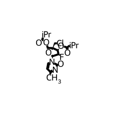 Cc1ccn([C@@H]2O[C@](CCl)(COC(=O)C(C)C)[C@@H](OC(=O)C(C)C)[C@H]2F)c(=O)n1